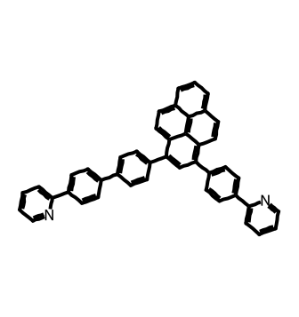 c1ccc(-c2ccc(-c3ccc(-c4cc(-c5ccc(-c6ccccn6)cc5)c5ccc6cccc7ccc4c5c76)cc3)cc2)nc1